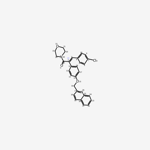 O=C(/C(=C/c1ccc(Cl)cc1)c1ccc(OCc2ccc3ccccc3n2)cc1)N1CCOCC1